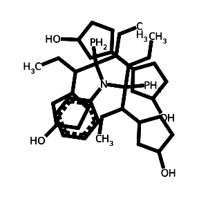 CCC(C1CCC(O)C1)C(P)(C(CC)C1CCC(O)C1)N(c1ccccc1)C(P)(C(CC)C1CCC(O)C1)C(CC)C1CCC(O)C1